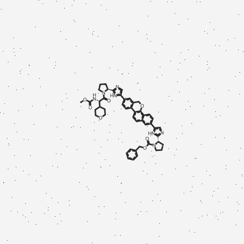 COC(=O)N[C@H](C(=O)N1CCC[C@H]1c1ncc(-c2ccc3c(c2)COc2c-3ccc3cc(-c4cnc([C@@H]5CCCN5C(=O)OCc5ccccc5)[nH]4)ccc23)[nH]1)C1CCOCC1